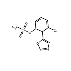 CS(=O)(=O)OC1C=CC=C(Cl)C1c1cnco1